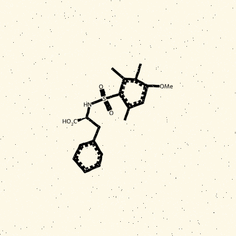 COc1cc(C)c(S(=O)(=O)N[C@@H](Cc2ccccc2)C(=O)O)c(C)c1C